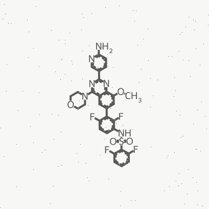 COc1cc(-c2c(F)ccc(NS(=O)(=O)c3c(F)cccc3F)c2F)cc2c(N3CCOCC3)nc(-c3ccc(N)nc3)nc12